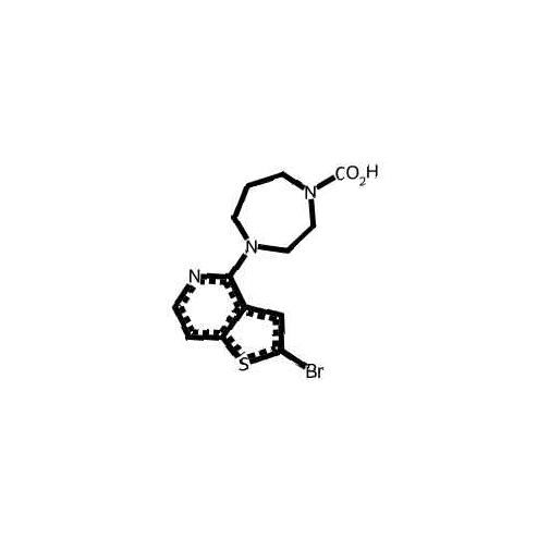 O=C(O)N1CCCN(c2nccc3sc(Br)cc23)CC1